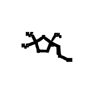 CC1(C)OC[C@](C)(C=NO)O1